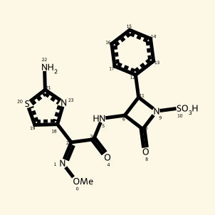 CO/N=C(\C(=O)NC1C(=O)N(S(=O)(=O)O)C1c1ccccc1)c1csc(N)n1